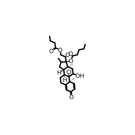 CCCCC(=O)O[C@]1(C(=O)COC(=O)CCC)C(C)C[C@H]2[C@@H]3CCC4=CC(=O)C=C[C@]4(C)[C@@]3(Cl)C(O)C[C@@]21C